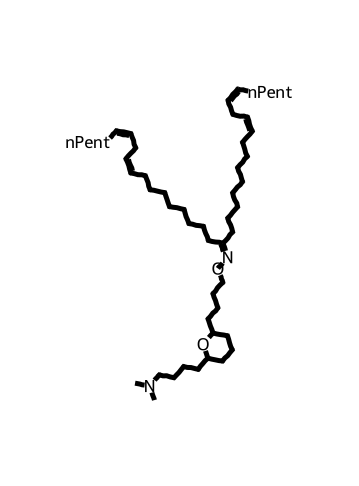 CCCCC/C=C\C/C=C\CCCCCCCCC(CCCCCCCC/C=C\C/C=C\CCCCC)=NOCCCCC1CCCC(CCCCN(C)C)O1